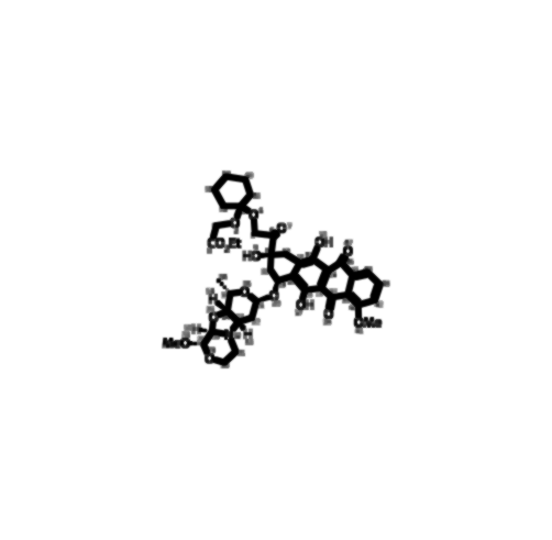 CCOC(=O)COC1(OCC(=O)[C@]2(O)Cc3c(O)c4c(c(O)c3[C@@H](O[C@H]3C[C@H]5[C@H](O[C@@H]6[C@@H](OC)OCCN65)[C@H](C)O3)C2)C(=O)c2c(OC)cccc2C4=O)CCCCC1